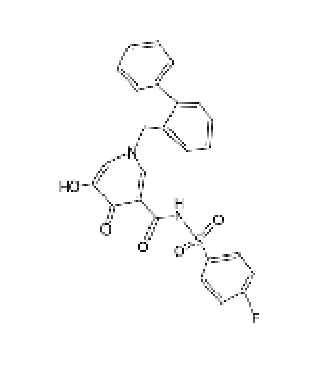 O=C(NS(=O)(=O)c1ccc(F)cc1)c1cn(Cc2ccccc2-c2ccccc2)cc(O)c1=O